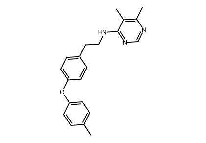 Cc1ccc(Oc2ccc(CCNc3ncnc(C)c3C)cc2)cc1